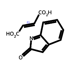 O=C(O)/C=C/C(=O)O.O=C1C=c2ccccc2=N1